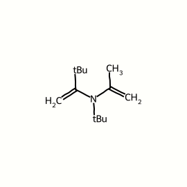 C=C(C)N(C(=C)C(C)(C)C)C(C)(C)C